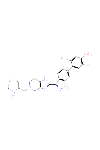 CCc1cc(O)c(F)cc1-c1ccc2c(-c3nc4c([nH]3)CCN(CC3COCCN3)C4)n[nH]c2c1